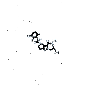 CN1OC(CO)Cn2nc3c(c2C1=O)CN(C(=O)Nc1c(F)ccc(Cl)c1F)CC3